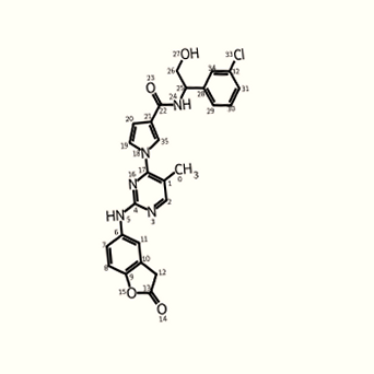 Cc1cnc(Nc2ccc3c(c2)CC(=O)O3)nc1-n1ccc(C(=O)NC(CO)c2cccc(Cl)c2)c1